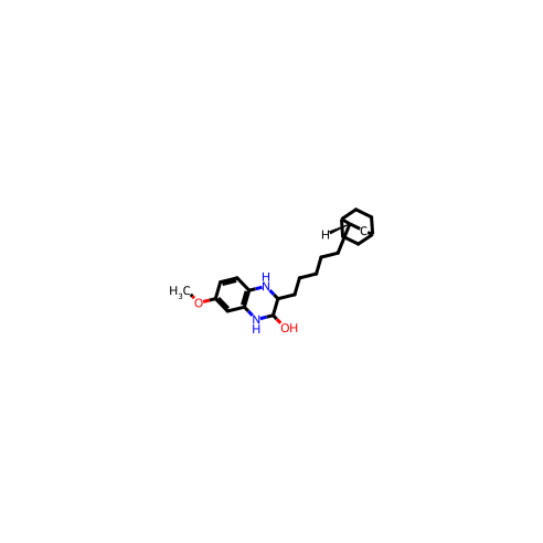 COc1ccc2c(c1)NC(O)C(CCCCC[C@H]1CC3CCC1CC3)N2